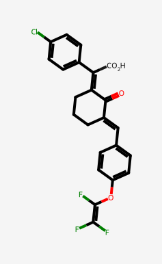 O=C(O)C(=C1CCCC(=Cc2ccc(OC(F)=C(F)F)cc2)C1=O)c1ccc(Cl)cc1